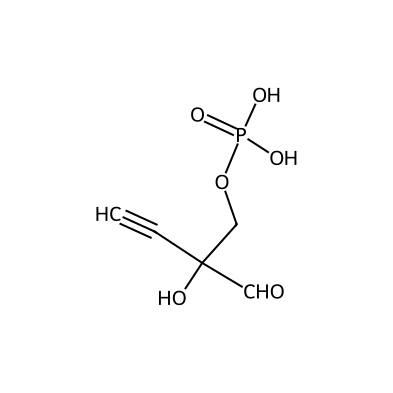 C#CC(O)(C=O)COP(=O)(O)O